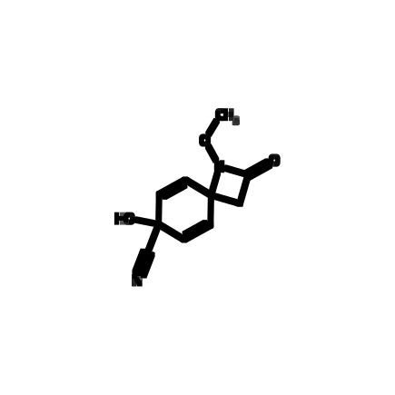 CON1C(=O)CC12C=CC(O)(C#N)C=C2